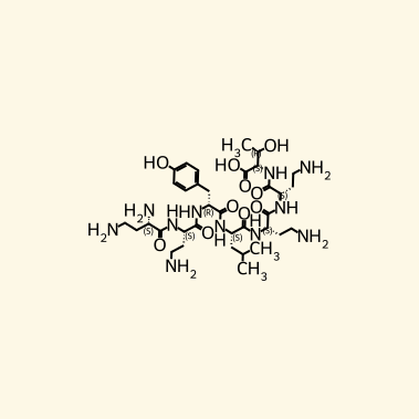 CC(C)C[C@H](NC(=O)[C@@H](Cc1ccc(O)cc1)NC(=O)[C@H](CCN)NC(=O)[C@@H](N)CCN)C(=O)N[C@@H](CCN)C(=O)N[C@@H](CCN)C(=O)N[C@H](C(=O)O)[C@@H](C)O